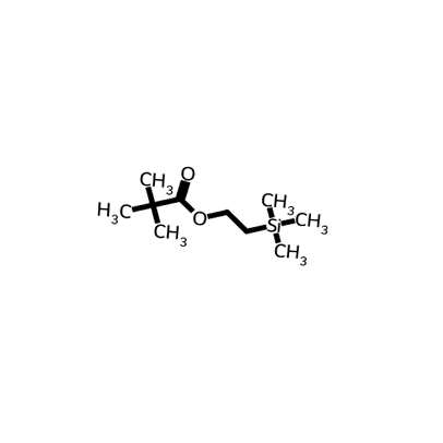 CC(C)(C)C(=O)OCC[Si](C)(C)C